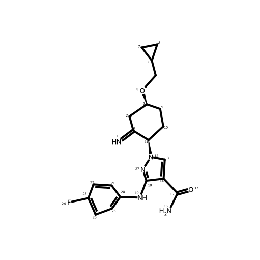 N=C1C[C@@H](OCC2CC2)CC[C@H]1n1cc(C(N)=O)c(Nc2ccc(F)cc2)n1